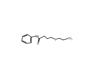 CCCSCCCC(=O)Nc1ccccc1